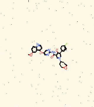 COc1ccc2nccc(Oc3cnc(NC(=O)c4cn(C5CCOCC5)cc(-c5ccc(F)cc5)c4=O)nc3)c2c1